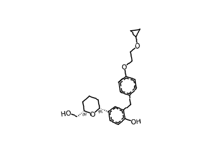 OC[C@@H]1CCC[C@H](c2ccc(O)c(Cc3ccc(OCCOC4CC4)cc3)c2)O1